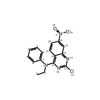 CCN(c1ccccc1)c1nc(Cl)nc2cc([N+](=O)[O-])ccc12